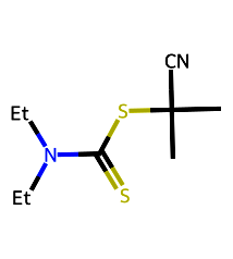 CCN(CC)C(=S)SC(C)(C)C#N